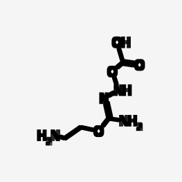 NCCOC(N)=NNOC(=O)O